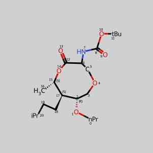 CCCO[C@H]1COCC(NC(=O)OC(C)(C)C)C(=O)O[C@@H](C)[C@@H]1CCC(C)C